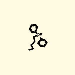 CCCCC[P](C)(c1ccccc1)c1ccccc1